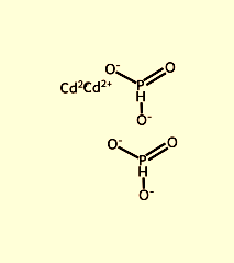 O=[PH]([O-])[O-].O=[PH]([O-])[O-].[Cd+2].[Cd+2]